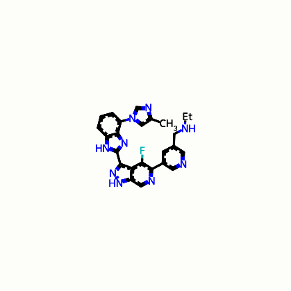 CCNCc1cncc(-c2ncc3[nH]nc(-c4nc5c(-n6cnc(C)c6)cccc5[nH]4)c3c2F)c1